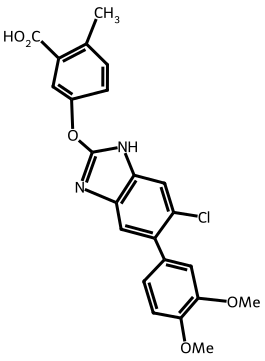 COc1ccc(-c2cc3nc(Oc4ccc(C)c(C(=O)O)c4)[nH]c3cc2Cl)cc1OC